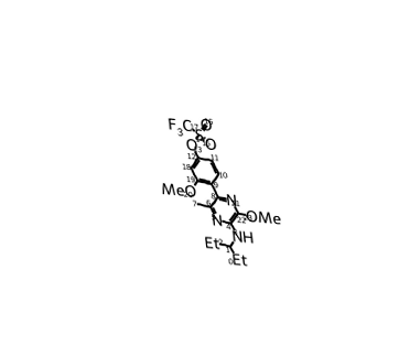 CCC(CC)Nc1nc(C)c(-c2ccc(OS(=O)(=O)C(F)(F)F)cc2OC)nc1OC